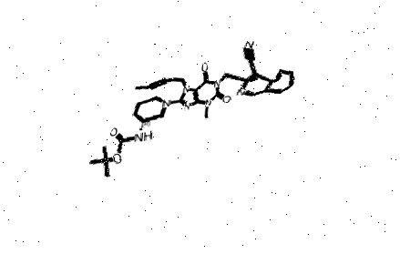 CC#CCn1c(N2CCC[C@@H](NC(=O)OC(C)(C)C)C2)nc2c1c(=O)n(Cc1ncc3ccccc3c1C#N)c(=O)n2C